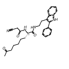 CC(=O)CCCCC[C@H](NC(=O)CC#N)C(=O)NCCc1c(-c2ccccc2)[nH]c2ccccc12